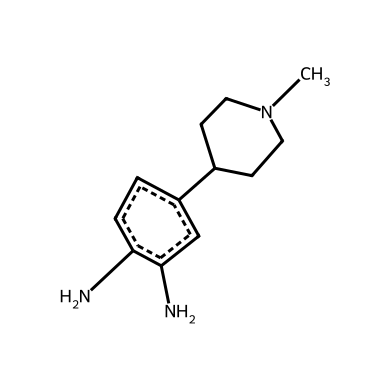 CN1CCC(c2ccc(N)c(N)c2)CC1